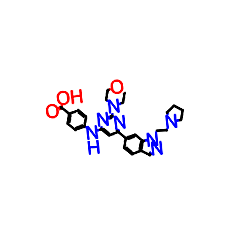 O=C(O)c1ccc(Nc2cc(-c3ccc4cnn(CCN5CCCC5)c4c3)nc(N3CCOCC3)n2)cc1